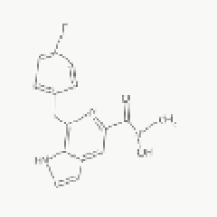 CN(O)C(=O)c1cc2cc[nH]c2c(Cc2ccc(F)cc2)n1